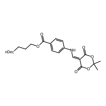 CCCCCCCCCCCCCOC(=O)c1ccc(NC=C2C(=O)OC(C)(C)OC2=O)cc1